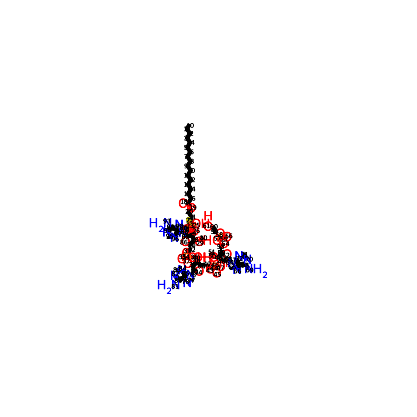 CCCCCCCCCCCCCCCCCC(=O)OCCSP(=O)(O)OC1C(OC)[C@@H](COP(=O)(O)OC2C(O)[C@@H](COP(=O)(O)OC3C(OC)[C@@H](COP(=O)(O)OCCO)O[C@H]3n3cnc4c(N)ncnc43)O[C@H]2n2cnc3c(N)ncnc32)O[C@H]1n1cnc2c(N)ncnc21